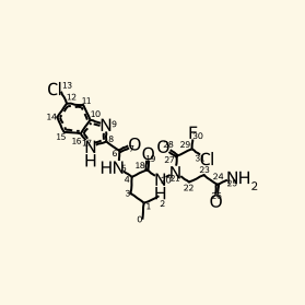 CC(C)CC(NC(=O)c1nc2cc(Cl)ccc2[nH]1)C(=O)NN(CCC(N)=O)C(=O)C(F)Cl